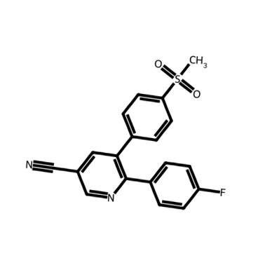 CS(=O)(=O)c1ccc(-c2cc(C#N)cnc2-c2ccc(F)cc2)cc1